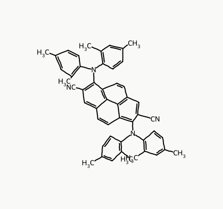 Cc1ccc(N(c2ccc(C)cc2C)c2c(C#N)cc3ccc4c(N(c5ccc(C)cc5C)c5ccc(C)cc5C)c(C#N)cc5ccc2c3c54)c(C)c1